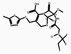 CO[C@@]1(NC(=O)C[S+]([O-])C(F)(F)CF)C(=O)N2C(C(=O)O)=C(CSc3nnc(C)s3)CS[C@H]21